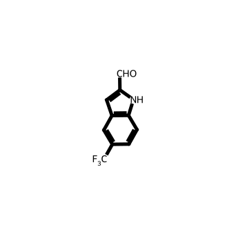 O=Cc1cc2cc(C(F)(F)F)ccc2[nH]1